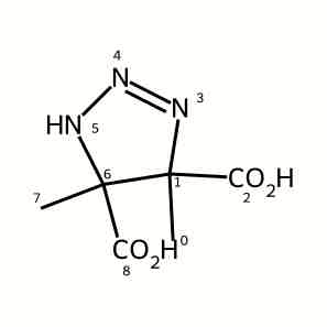 CC1(C(=O)O)N=NNC1(C)C(=O)O